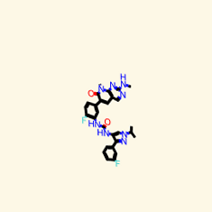 CNc1ncc2cc(-c3ccc(F)c(NC(=O)Nc4cn(C(C)C)nc4-c4cccc(F)c4)c3)c(=O)n(C)c2n1